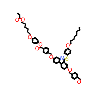 C=CCCCCCCOc1ccc(Sc2nc3cc(OCc4ccc(C(=O)Oc5ccc(OCCCCCCOC(=O)C=C)cc5)cc4)ccc3c3ccc(OCc4ccc(C=O)cc4)cc23)cc1